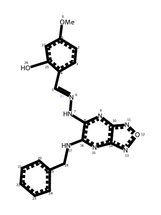 COc1ccc(/C=N/Nc2nc3nonc3nc2NCc2ccccc2)c(O)c1